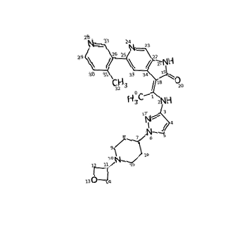 C/C(Nc1ccn(C2CCN(C3COC3)CC2)n1)=C1/C(=O)Nc2cnc(-c3cnccc3C)cc21